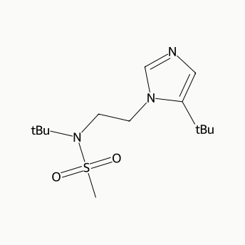 CC(C)(C)c1cncn1CCN(C(C)(C)C)S(C)(=O)=O